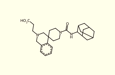 O=C(O)CCN1Cc2ccccc2C2(CCN(C(=O)NC3C4CC5CC(C4)CC3C5)CC2)C1